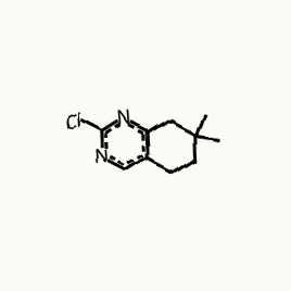 CC1(C)CCc2cnc(Cl)nc2C1